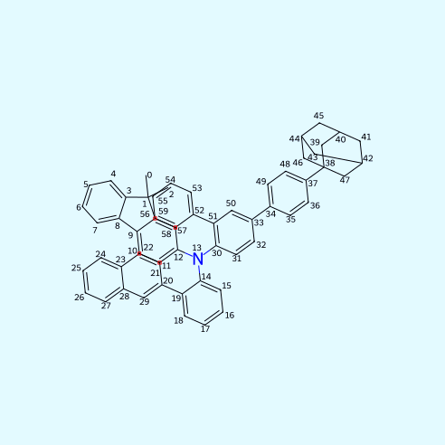 CC1(C)c2ccccc2-c2ccc(N(c3ccccc3-c3ccc4ccccc4c3)c3ccc(-c4ccc(C56CC7CC(CC(C7)C5)C6)cc4)cc3-c3ccccc3)cc21